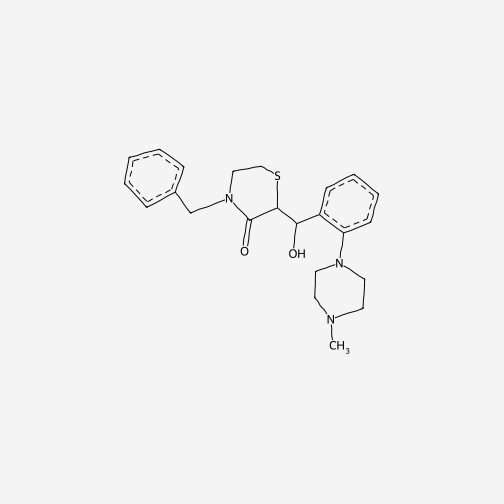 CN1CCN(c2ccccc2C(O)C2SCCN(Cc3ccccc3)C2=O)CC1